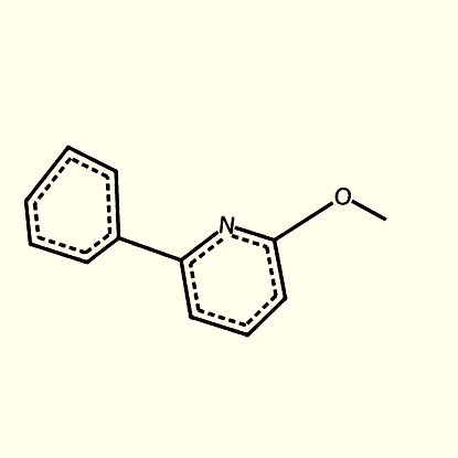 COc1cccc(-c2ccccc2)n1